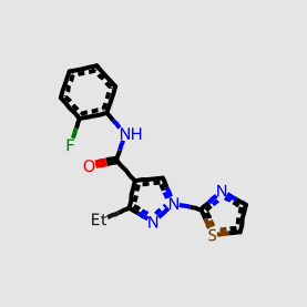 CCc1nn(-c2nccs2)cc1C(=O)Nc1ccccc1F